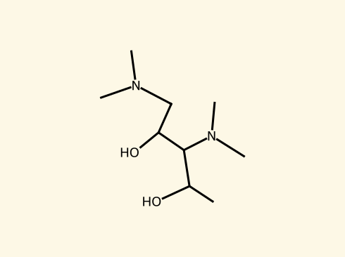 CC(O)C(C(O)CN(C)C)N(C)C